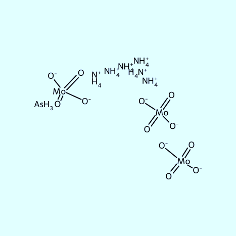 [AsH3].[NH4+].[NH4+].[NH4+].[NH4+].[NH4+].[NH4+].[O]=[Mo](=[O])([O-])[O-].[O]=[Mo](=[O])([O-])[O-].[O]=[Mo](=[O])([O-])[O-]